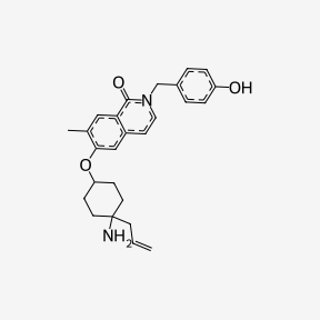 C=CCC1(N)CCC(Oc2cc3ccn(Cc4ccc(O)cc4)c(=O)c3cc2C)CC1